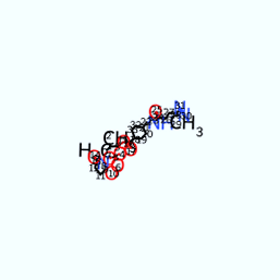 CC(C)C(OC(=O)ON1C(=O)CCC1=O)OC(=O)C1CCC(CNC(=O)CCC2(C)N=N2)CC1